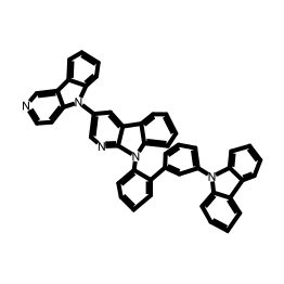 c1cc(-c2ccccc2-n2c3ccccc3c3cc(-n4c5ccccc5c5cnccc54)cnc32)cc(-n2c3ccccc3c3ccccc32)c1